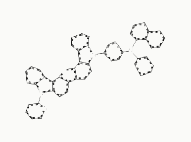 c1ccc(N(c2ccc(-n3c4ccccc4c4c5oc6c(ccc7c6c6ccccc6n7-c6ccccn6)c5ccc43)cc2)c2cccc3ccccc23)cc1